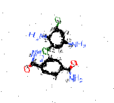 NC(=O)c1ccc(C(N)=O)cc1.Nc1cc(Cl)c(N)c(Cl)c1